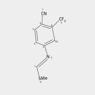 CSC=Nc1ccc(C#N)c(C(F)(F)F)c1